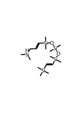 C[SiH](C)CC=C[Si](C)(C)O[Si](C)(C)O[Si](C)(C)C=C[Si](C)(C)C